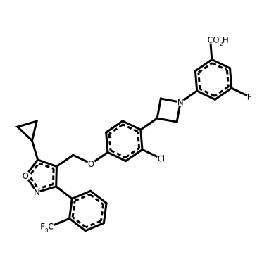 O=C(O)c1cc(F)cc(N2CC(c3ccc(OCc4c(-c5ccccc5C(F)(F)F)noc4C4CC4)cc3Cl)C2)c1